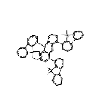 C[Si]1(C)c2ccccc2-c2cccc(-c3cccc4c(-c5cccc6c5C5(CCCC5)c5ccccc5-6)c5cccc(-c6cccc7c6[Si](C)(C)c6ccccc6-7)c5cc34)c21